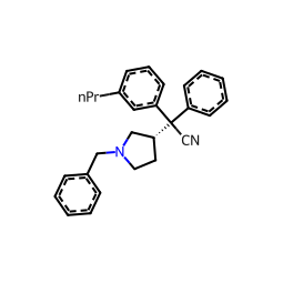 CCCc1cccc(C(C#N)(c2ccccc2)[C@@H]2CCN(Cc3ccccc3)C2)c1